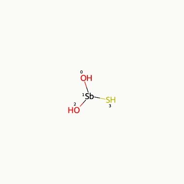 [OH][Sb]([OH])[SH]